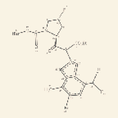 CCOC(=O)C(C(=O)[C@@H]1C[C@@H](F)CN1C(=O)OC(C)(C)C)n1cc2c(C(F)F)cc(Br)c(C)c2n1